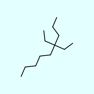 CCCCCC(CC)(CC)CCC